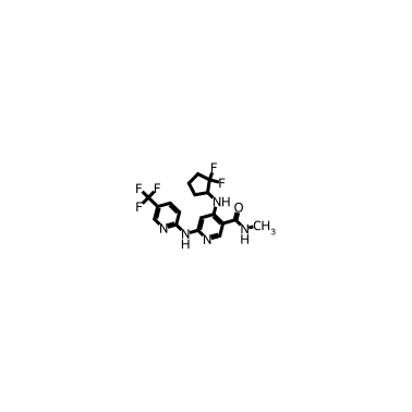 CNC(=O)c1cnc(Nc2ccc(C(F)(F)F)cn2)cc1NC1CCCC1(F)F